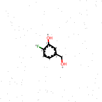 OCc1ccc(F)c(O)c1